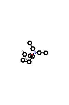 Cc1ccc([Si]2(c3ccc(C)cc3)c3ccccc3-c3cccc(-c4ccc(N(c5ccc(-c6ccccc6)cc5)c5ccc(-c6ccccc6)cc5)cc4)c32)cc1